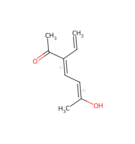 C=C/C(=C\C=C(/C)O)C(C)=O